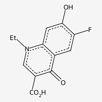 CCn1cc(C(=O)O)c(=O)c2cc(F)c(O)cc21